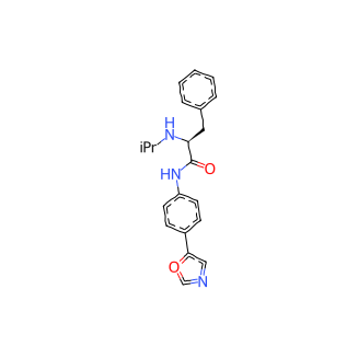 CC(C)N[C@@H](Cc1ccccc1)C(=O)Nc1ccc(-c2cnco2)cc1